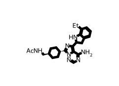 CCc1cccc2c1NC(c1nc([C@H]3CC[C@H](CNC(C)=O)CC3)n3ncnc(N)c13)C2